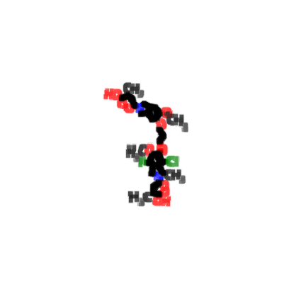 COc1cc2c(cc1OCCCOc1c(Cl)c3c(c(F)c1OC)CN(C(=O)C[C@H](C)C(=O)O)C3C)CN(C(=O)C[C@H](C)C(=O)O)C2